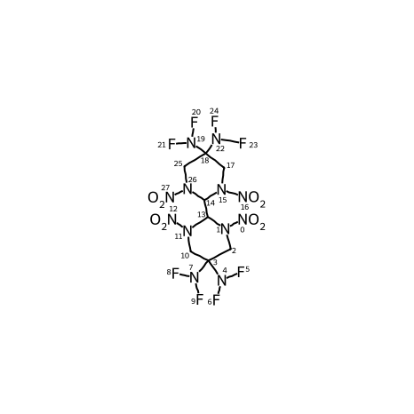 O=[N+]([O-])N1CC(N(F)F)(N(F)F)CN([N+](=O)[O-])C1C1N([N+](=O)[O-])CC(N(F)F)(N(F)F)CN1[N+](=O)[O-]